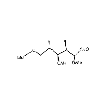 CO[C@H]([C@@H](C)[C@H](C=O)OC)[C@@H](C)COC(C)(C)C